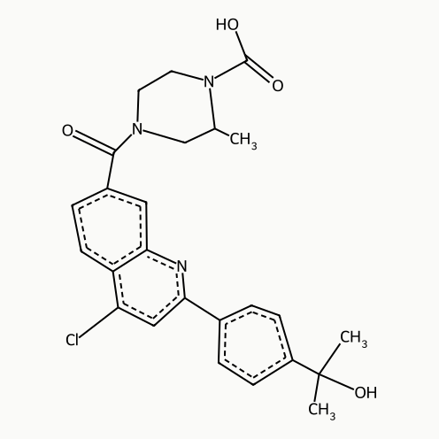 CC1CN(C(=O)c2ccc3c(Cl)cc(-c4ccc(C(C)(C)O)cc4)nc3c2)CCN1C(=O)O